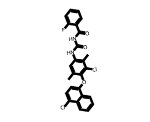 Cc1cc(NC(=O)NC(=O)c2ccccc2F)c(C)c(Cl)c1Oc1ccc(Cl)c2ccccc12